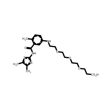 Cc1ccc(NCCOCCOCCOCCC(=O)O)cc1C(=O)Nc1nc(C)c(C)s1